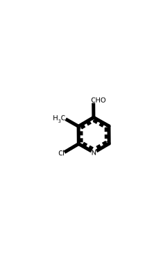 Cc1c(C=O)ccnc1Cl